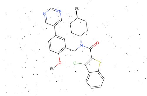 CCOc1ccc(-c2cncnc2)cc1CN(C(=O)c1sc2ccccc2c1Cl)[C@H]1CC[C@H](CC)CC1